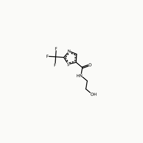 O=C(NCCO)c1cnc(C(F)(F)F)s1